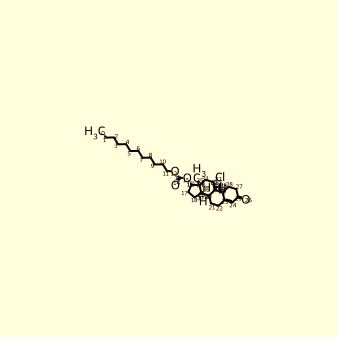 CCCCCCCCCCCCOC(=O)O[C@H]1CC[C@H]2[C@@H]3CCC4=CC(=O)CC[C@@H]4[C@H]3[C@@H](Cl)C[C@]12C